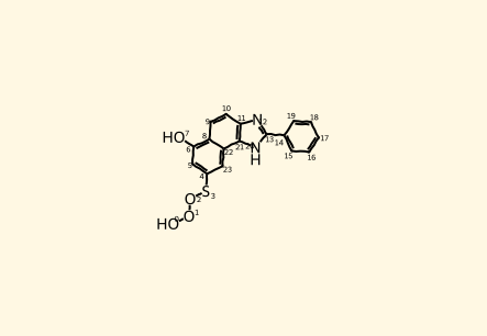 OOOSc1cc(O)c2ccc3nc(-c4ccccc4)[nH]c3c2c1